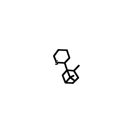 CC1CCC2CC1(C1CCCCS1)C2(C)C